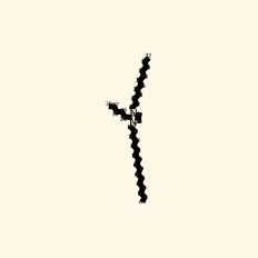 CCCCCCCCCCCCCCCCC[n+]1ccn(CCCCCCCCCCCC)c1CCCCC